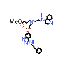 COC(=O)CCCN(CCCCNc1ccnc2ccccc12)CCCOc1ccc2c(NCCCc3ccccc3)ncnc2c1